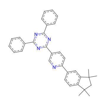 CC1(C)CC(C)(C)c2cc(-c3ccc(-c4nc(-c5ccccc5)nc(-c5ccccc5)n4)cn3)ccc21